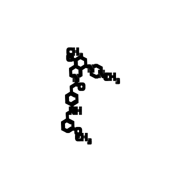 COC1=C2CCN(C(=O)Cc3ccc(NCc4cccc(OC)c4)cc3)C=C2C(N2CCN(C)CC2)CC1